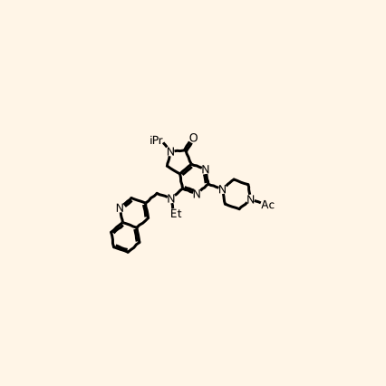 CCN(Cc1cnc2ccccc2c1)c1nc(N2CCN(C(C)=O)CC2)nc2c1CN(C(C)C)C2=O